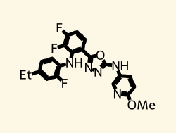 CCc1ccc(Nc2c(-c3nnc(Nc4ccc(OC)nc4)o3)ccc(F)c2F)c(F)c1